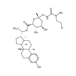 C[C@@]1(ONC(=O)N(CCCl)N=O)C[C@@H](O)[C@H](O)[C@@H](C(=O)OC(C(=O)O)[C@H]2CC[C@@H]3[C@H]4CCc5cc(O)ccc5[C@@H]4CC[C@]23C)O1